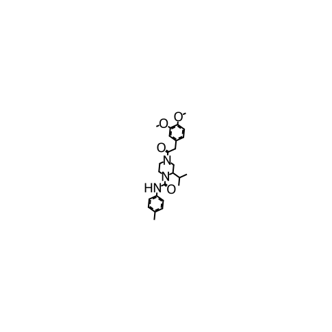 COc1ccc(CC(=O)N2CCN(C(=O)Nc3ccc(C)cc3)C(C(C)C)C2)cc1OC